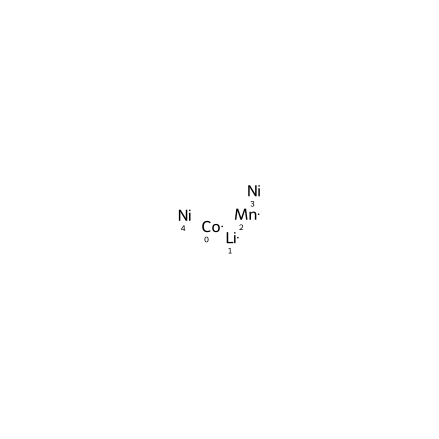 [Co].[Li].[Mn].[Ni].[Ni]